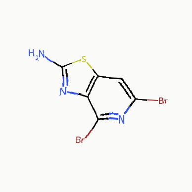 Nc1nc2c(Br)nc(Br)cc2s1